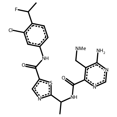 CNCc1c(N)ncnc1C(=O)NC(C)c1ncc(C(=O)Nc2ccc(C(C)F)c(Cl)c2)s1